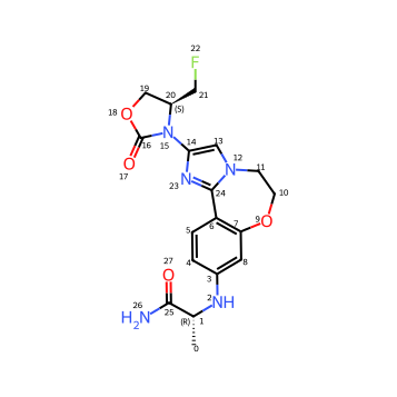 C[C@@H](Nc1ccc2c(c1)OCCn1cc(N3C(=O)OC[C@H]3CF)nc1-2)C(N)=O